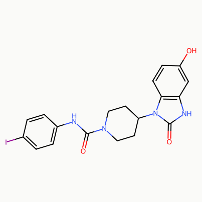 O=C(Nc1ccc(I)cc1)N1CCC(n2c(=O)[nH]c3cc(O)ccc32)CC1